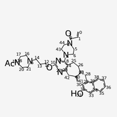 C=CC(=O)N1CCN(c2nc(OCCCN3CCN(C(C)=O)CC3)nc3c2CC[C@H](Cc2cc(O)cc4ccccc24)C(=C)C3)CC1